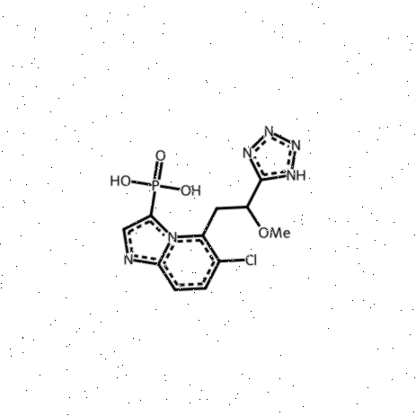 COC(Cc1c(Cl)ccc2ncc(P(=O)(O)O)n12)c1nnn[nH]1